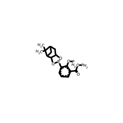 CC1(C)C2CC3OB(c4cccc(C(=O)OP)c4OP)OC3C1C2